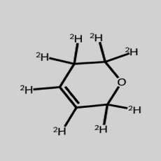 [2H]C1=C([2H])C([2H])([2H])C([2H])([2H])OC1([2H])[2H]